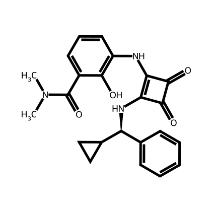 CN(C)C(=O)c1cccc(Nc2c(N[C@@H](c3ccccc3)C3CC3)c(=O)c2=O)c1O